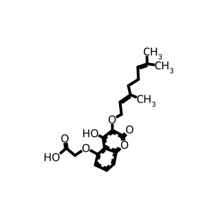 CC(C)=CCC/C(C)=C/COc1c(O)c2c(OCC(=O)O)cccc2oc1=O